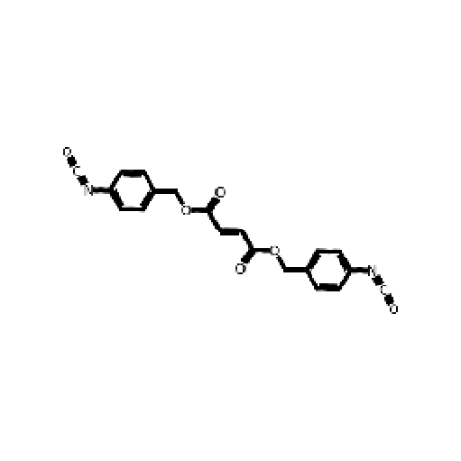 O=C=Nc1ccc(COC(=O)C=CC(=O)OCc2ccc(N=C=O)cc2)cc1